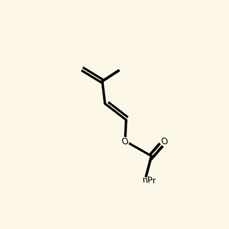 C=C(C)C=COC(=O)CCC